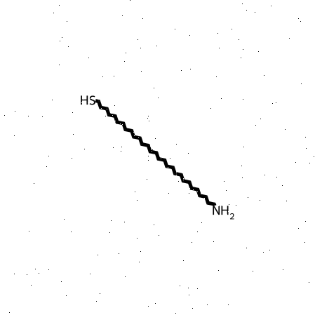 NCCCCCCCCCCCCCCCCCCCCCCCCCCCCCS